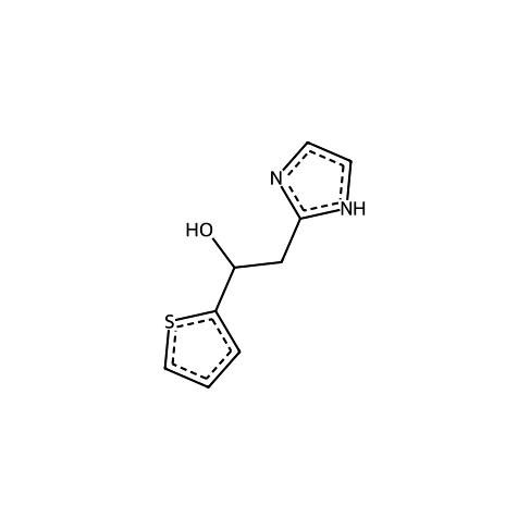 OC(Cc1ncc[nH]1)c1cccs1